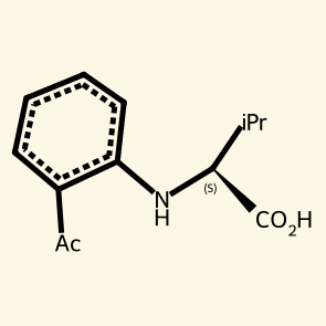 CC(=O)c1ccccc1N[C@H](C(=O)O)C(C)C